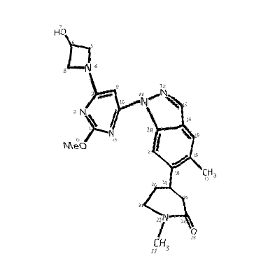 COc1nc(N2CC(O)C2)cc(-n2ncc3cc(C)c(C4CCN(C)C(=O)C4)cc32)n1